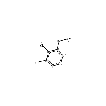 CC(C)Nc1nccc(I)c1Cl